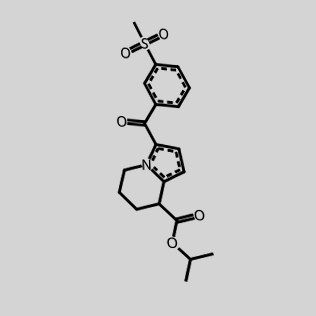 CC(C)OC(=O)C1CCCn2c(C(=O)c3cccc(S(C)(=O)=O)c3)ccc21